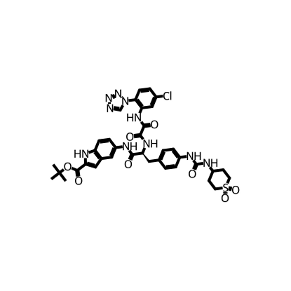 CC(C)(C)OC(=O)c1cc2cc(NC(=O)[C@H](Cc3ccc(NC(=O)NC4CCS(=O)(=O)CC4)cc3)NC(=O)C(=O)Nc3cc(Cl)ccc3-n3cnnn3)ccc2[nH]1